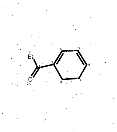 CCC(=O)C1=CC=CCC1